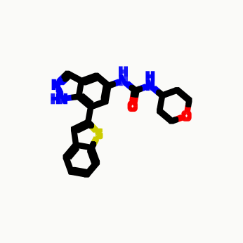 O=C(Nc1cc(-c2cc3ccccc3s2)c2[nH]ncc2c1)NC1CCOCC1